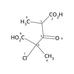 CC(C(=O)O)C(=O)C(C)(Cl)C(=O)O